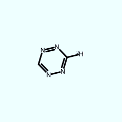 [2H]c1nncnn1